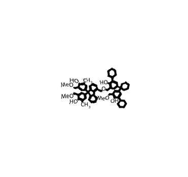 COCc1cc(C2(c3cc(C)c(O)c(COC)c3)c3ccccc3-c3c(COCc4cc(C5(c6cc(COC)c(O)c(C7CCCCC7)c6)CCCCC5)cc(C5CCCCC5)c4O)cccc32)cc(C)c1O